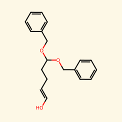 OC=CCCC(OCc1ccccc1)OCc1ccccc1